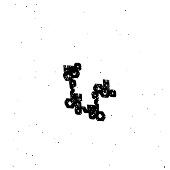 O=C1CCc2c(cccc2OCCCNC2CCCCC2OC(=O)/C=C/C(=O)OC2CCCCC2NCCCOc2cccc3c2CCC(=O)N3)N1